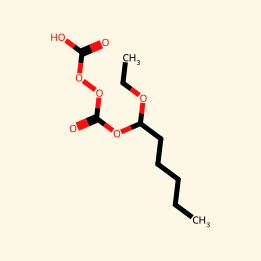 CCCCCC(OCC)OC(=O)OOC(=O)O